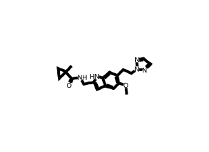 COc1cc2cc(CNC(=O)C3(C)CC3)[nH]c2cc1CCn1nccn1